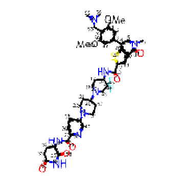 COc1cc(-c2cn(C)c(=O)c3cc(C(=O)NC4CCN(C5CCN(c6ccc(C(=O)NC7CCC(=O)NC7=O)nc6)CC5)CC4(F)F)sc23)cc(OC)c1CN(C)C